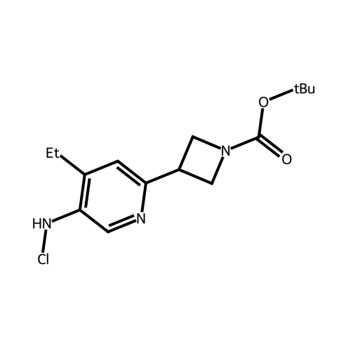 CCc1cc(C2CN(C(=O)OC(C)(C)C)C2)ncc1NCl